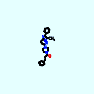 Cc1c(-c2ccccc2)nc2ccc(N3CCN(C(=O)CCc4ccccc4)CC3)nn12